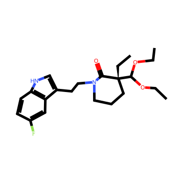 CCOC(OCC)[C@]1(CC)CCCN(CCc2c[nH]c3ccc(F)cc23)C1=O